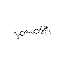 C[C@H](O)[C@@H](N)C(=O)N1CCN(CCCOc2ccc(C(=O)C3CC3)cc2)CC1